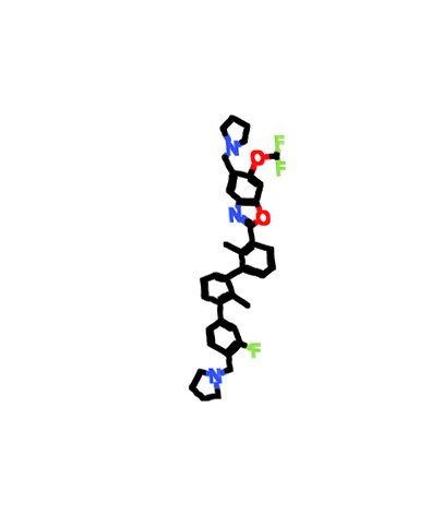 Cc1c(-c2ccc(CN3CCCC3)c(F)c2)cccc1-c1cccc(-c2nc3cc(CN4CCCC4)c(OC(F)F)cc3o2)c1C